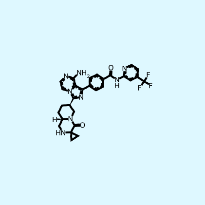 Nc1nccn2c([C@@H]3CC[C@H]4CNC5(CC5)C(=O)N4C3)nc(-c3ccc(C(=O)Nc4cc(C(F)(F)F)ccn4)cc3)c12